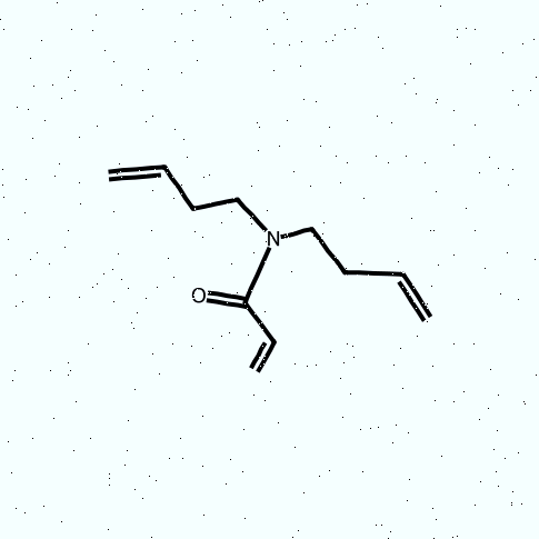 C=CCCN(CCC=C)C(=O)C=C